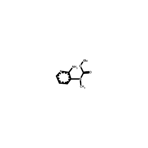 CN(C(=O)OC(C)(C)C)c1cccnc1N